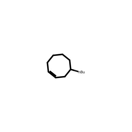 CCCCC1CC=CCCCC1